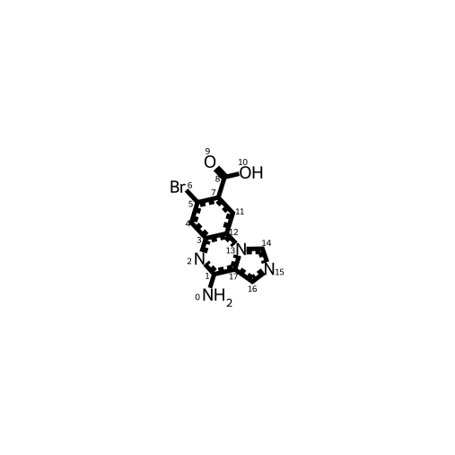 Nc1nc2cc(Br)c(C(=O)O)cc2n2cncc12